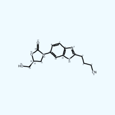 N#CCCCc1nc2ccc(N3C[C@@H](CO)OC3=O)cc2s1